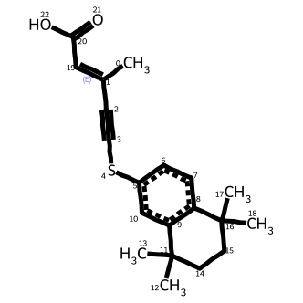 C/C(C#CSc1ccc2c(c1)C(C)(C)CCC2(C)C)=C\C(=O)O